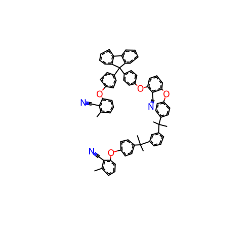 Cc1cccc(Oc2ccc(C(C)(C)c3cccc(C(C)(C)c4ccc(Oc5cccc(Oc6ccc(C7(c8ccc(Oc9cccc(C)c9C#N)cc8)c8ccccc8-c8ccccc87)cc6)c5C#N)cc4)c3)cc2)c1C#N